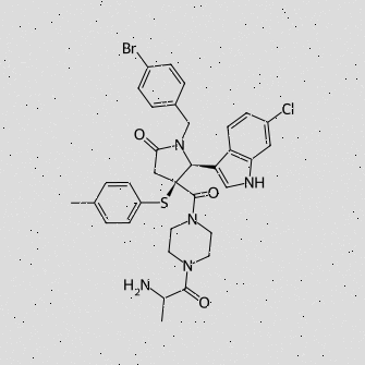 Cc1ccc(S[C@@]2(C(=O)N3CCN(C(=O)C(C)N)CC3)CC(=O)N(Cc3ccc(Br)cc3)[C@H]2c2c[nH]c3cc(Cl)ccc23)cc1